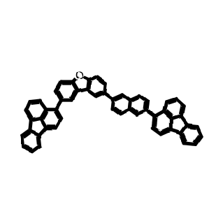 c1ccc2c(c1)-c1cccc3c(-c4ccc5cc(-c6ccc7oc8ccc(-c9ccc%10c%11c(cccc9%11)-c9ccccc9-%10)cc8c7c6)ccc5c4)ccc-2c13